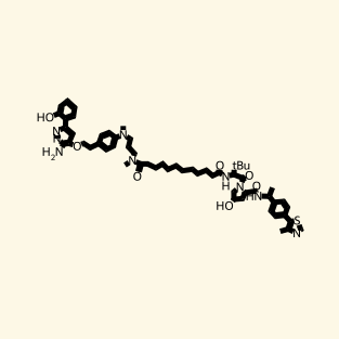 Cc1ncsc1-c1ccc(C(C)NC(=O)C2CC(O)CN2C(=O)C(NC(=O)CCCCCCCCCCC(=O)N(C)CCCN(C)c2ccc(CCOc3cc(-c4ccccc4O)nnc3N)cc2)C(C)(C)C)cc1